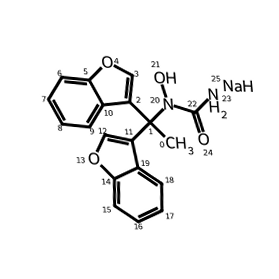 CC(c1coc2ccccc12)(c1coc2ccccc12)N(O)C(N)=O.[NaH]